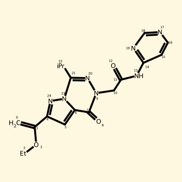 C=C(OCC)c1cc2c(=O)n(CC(=O)Nc3ccncn3)nc(C(C)C)n2n1